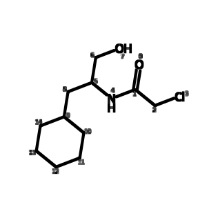 O=C(CCl)NC(CO)CC1CCCCC1